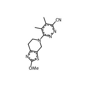 COc1nc2c(s1)CN(c1nnc(C#N)c(C)c1C)CC2